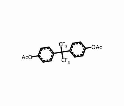 CC(=O)Oc1ccc(C(c2ccc(OC(C)=O)cc2)(C(F)(F)F)C(F)(F)F)cc1